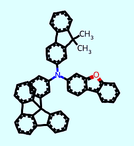 CC1(C)c2ccccc2-c2ccc(N(c3cccc(C45c6ccccc6-c6cccc(c64)-c4ccccc45)c3)c3ccc4c(c3)oc3ccccc34)cc21